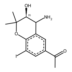 CC(=O)c1cc(I)c2c(c1)C(N)[C@H](O)C(C)(C)O2